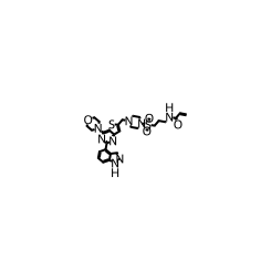 C=CC(=O)NCCCS(=O)(=O)N1CCN(Cc2cc3nc(-c4cccc5[nH]ncc45)nc(N4CCOCC4)c3s2)CC1